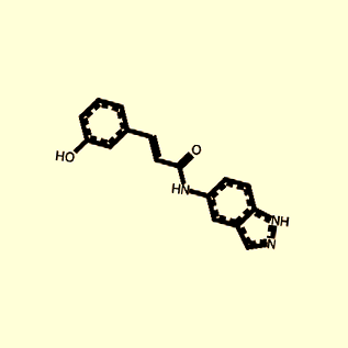 O=C(C=Cc1cccc(O)c1)Nc1ccc2[nH]ncc2c1